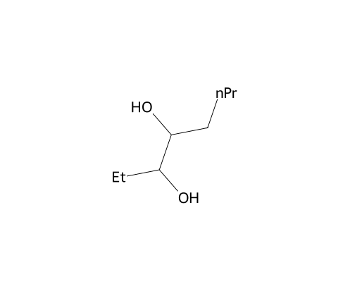 CCCCC(O)C(O)CC